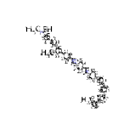 C/C=C(\S)c1ccc(-c2ccc(-c3sc(-c4ccc(/C=C/c5ccc(/C=C/c6ccc(-c7ccc(-c8ccc(-c9ccc(-c%10sccc%10C)s9)s8)s7)cc6)cc5)cc4)cc3C)s2)s1